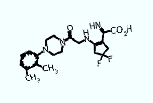 Cc1cccc(N2CCN(C(=O)CNC3=C(C(=N)C(=O)O)CC(F)(F)C3)CC2)c1C